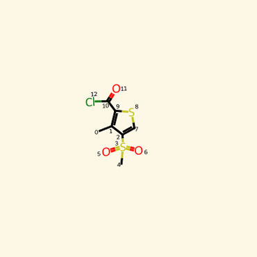 Cc1c(S(C)(=O)=O)csc1C(=O)Cl